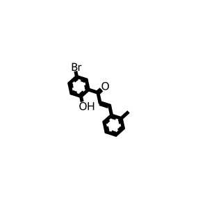 Cc1ccccc1C=CC(=O)c1cc(Br)ccc1O